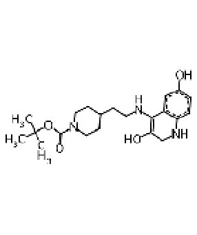 CC(C)(C)OC(=O)N1CCC(CCNC2=C(O)CNc3ccc(O)cc32)CC1